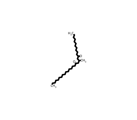 CCCCCCCCCCCCCCCC(=O)CC(C)CC(=O)CCCCCCCCCCC